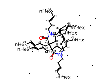 CCCCCC/C=C/CCN(CC/C=C/CCCCCC)C(=O)C(CC/C=C/CCCCCC)(CC/C=C/CCCCCC)C(CC/C=C/CCCCCC)(CC/C=C/CCCCCC)C(=O)N(CC/C=C/CCCCCC)CC/C=C/CCCCCC